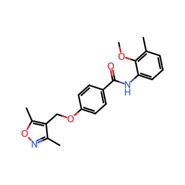 COc1c(C)cccc1NC(=O)c1ccc(OCc2c(C)noc2C)cc1